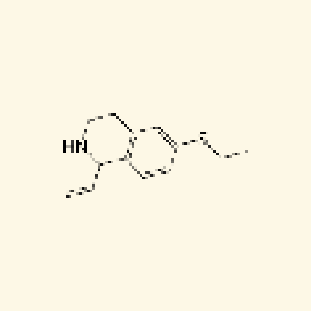 C=CC1NCCc2cc(SCC)ccc21